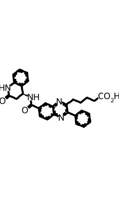 O=C(O)CCCCc1nc2cc(C(=O)N[C@H]3CC(=O)Nc4ccccc43)ccc2nc1-c1ccccc1